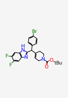 CC(C)(C)OC(=O)N1CC=C(C(c2ccc(Br)cc2)c2nc3cc(F)c(F)cc3[nH]2)CC1